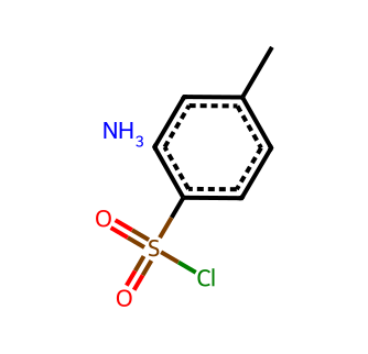 Cc1ccc(S(=O)(=O)Cl)cc1.N